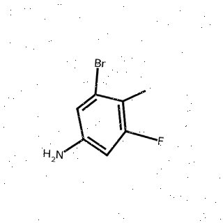 Cc1c(F)cc(N)cc1Br